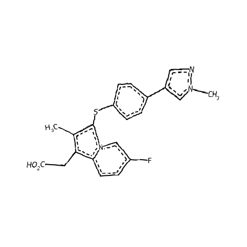 Cc1c(CC(=O)O)c2ccc(F)cn2c1Sc1ccc(-c2cnn(C)c2)cc1